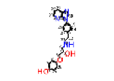 Oc1ccc(OC[C@@H](O)CNCCc2ccc(-n3cnc4cccnc43)cc2)cc1